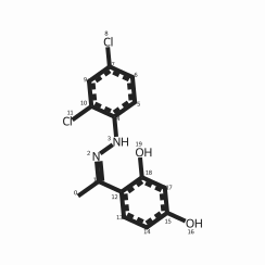 CC(=NNc1ccc(Cl)cc1Cl)c1ccc(O)cc1O